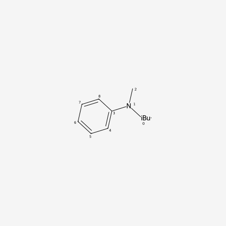 CC[C](C)N(C)c1ccccc1